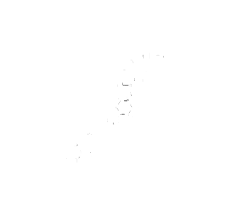 CCCCCCC1CCC(C(=O)Oc2ccc(OCCCC3CCC(CCC)CC3)cc2)CC1